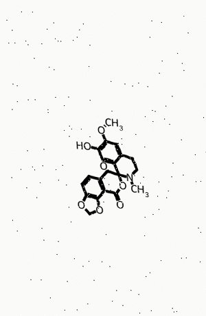 COc1cc2c(cc1O)C1(OC(=O)c3c(ccc4c3OCO4)C1=O)N(C)CC2